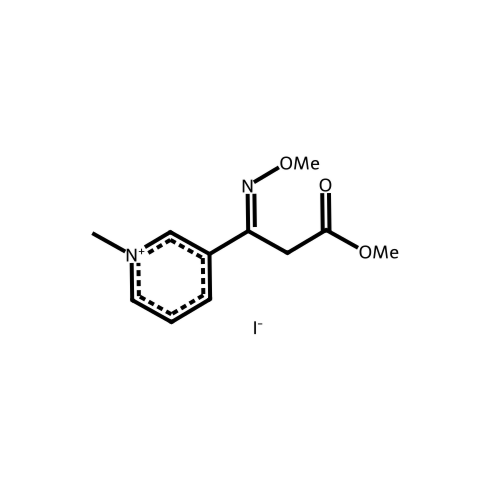 CON=C(CC(=O)OC)c1ccc[n+](C)c1.[I-]